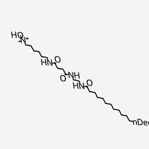 CCCCCCCCCCCCCCCCCCCCCC(=O)NCCNC(=O)CCC(=O)NCCCCCC[N+](C)(C)O